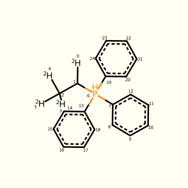 [2H]C(C([2H])([2H])[2H])[PH](c1ccccc1)(c1ccccc1)c1ccccc1